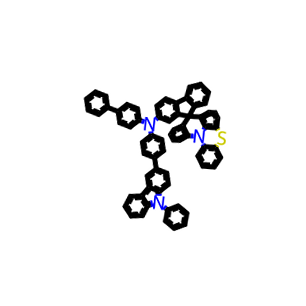 c1ccc(-c2ccc(N(c3ccc(-c4ccc5c(c4)c4ccccc4n5-c4ccccc4)cc3)c3ccc4c(c3)C3(c5ccccc5-4)c4ccccc4N4c5ccccc5Sc5cccc3c54)cc2)cc1